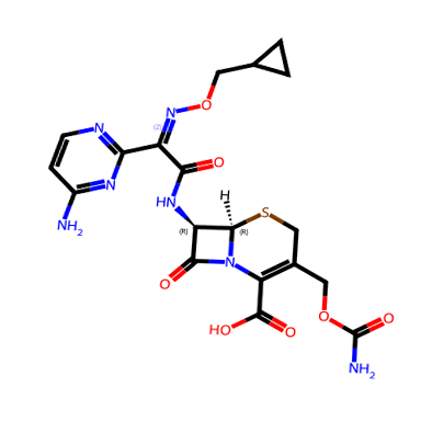 NC(=O)OCC1=C(C(=O)O)N2C(=O)[C@@H](NC(=O)/C(=N\OCC3CC3)c3nccc(N)n3)[C@H]2SC1